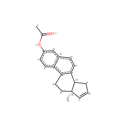 CC(=O)Oc1ccc2c3c(ccc2c1)C1CC=C[C@@]1(C)CC3